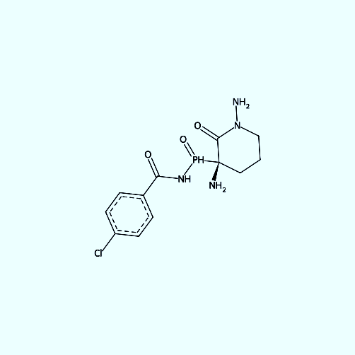 NN1CCC[C@](N)([PH](=O)NC(=O)c2ccc(Cl)cc2)C1=O